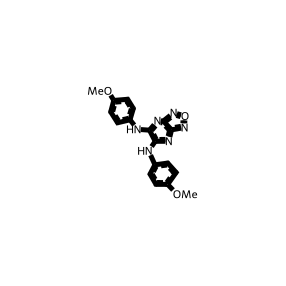 COc1ccc(Nc2nc3nonc3nc2Nc2ccc(OC)cc2)cc1